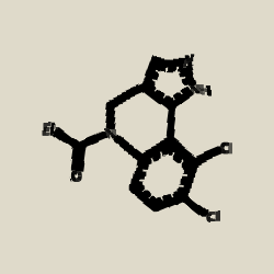 CCC(=O)N1Cc2cn[nH]c2-c2c1ccc(Cl)c2Cl